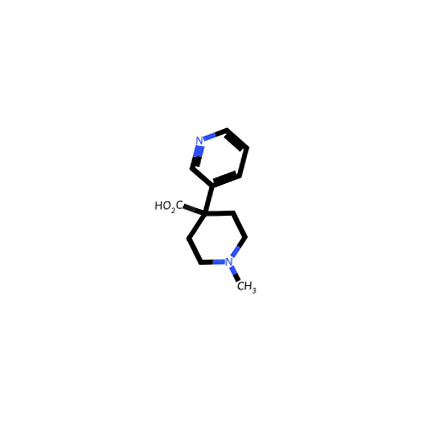 CN1CCC(C(=O)O)(c2cccnc2)CC1